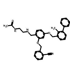 CC(=O)NCCNCc1ccc(OCc2cccc(-c3ccccc3)c2C)cc1OCc1ccccc1C#N